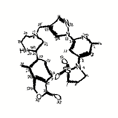 Cc1cc(N2CCCS2(=O)=O)cc(-n2cc(CN3CCN[C@H](c4ccc5c(c4C)COC5=O)C3)cn2)n1